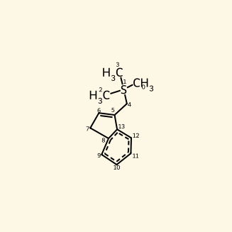 CS(C)(C)CC1=CCc2ccccc21